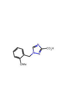 COc1ccccc1Cn1cnc(C(=O)O)n1